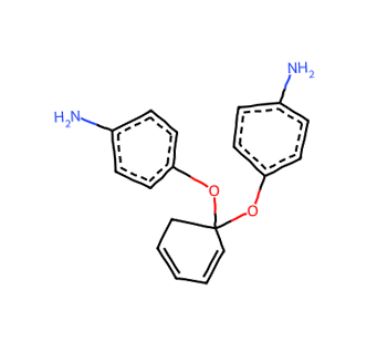 Nc1ccc(OC2(Oc3ccc(N)cc3)C=CC=CC2)cc1